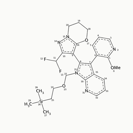 COc1ncccc1-c1c(-c2c(C(F)F)nn3c2OCCC3)n(COCC[Si](C)(C)C)c2ncccc12